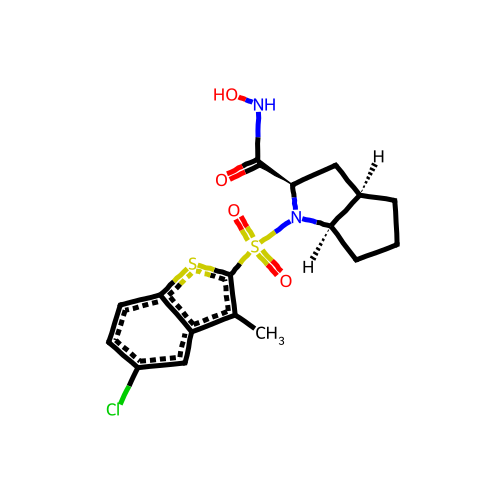 Cc1c(S(=O)(=O)N2[C@@H](C(=O)NO)C[C@H]3CCC[C@H]32)sc2ccc(Cl)cc12